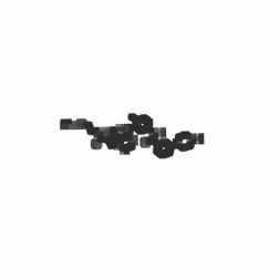 COCCNC(=O)c1cn2ncnc(Nc3cc(NC(=O)c4cccc(N5CCNCC5)c4)ccc3C)c2c1C